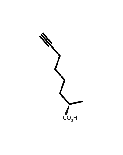 C#CCCCC[C@@H](C)C(=O)O